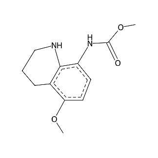 COC(=O)Nc1ccc(OC)c2c1NCCC2